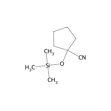 C[Si](C)(C)OC1(C#N)CCCC1